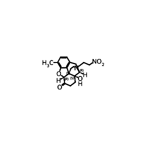 Cc1ccc2c3c1O[C@H]1C(=O)CC[C@@]4(O)[C@@H](C2)N(CC[N+](=O)[O-])CC[C@]314